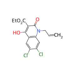 C=CCn1c(=O)c(C(=O)OCC)c(O)c2cc(Cl)c(Cl)cc21